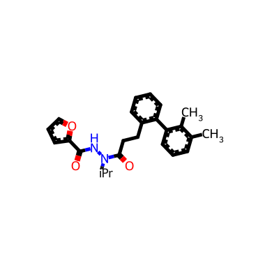 Cc1cccc(-c2ccccc2CCC(=O)N(NC(=O)c2ccco2)C(C)C)c1C